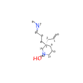 C=CC[C@]1(CC/C=N/C)CCCN(O)C1